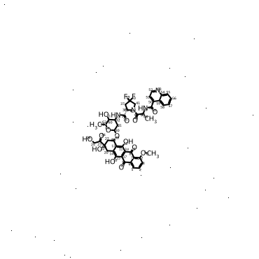 COc1cccc2c1C(=O)c1c(O)c3c(c(O)c1C2=O)C[C@@](O)(C(=O)CO)C[C@@H]3OC1CC(NC(=O)[C@@H]2CC(F)(F)CN2C(=O)[C@@H](C)NC(=O)c2ccnc3ccccc23)C(O)C(C)O1